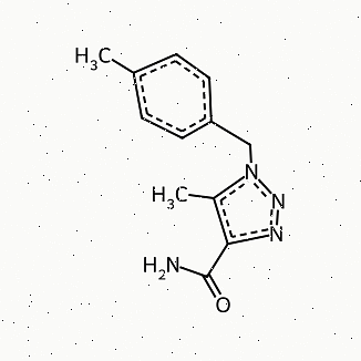 Cc1ccc(Cn2nnc(C(N)=O)c2C)cc1